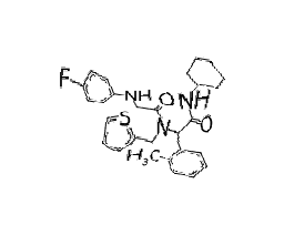 Cc1ccccc1C(C(=O)NC1CCCCC1)N(Cc1cccs1)C(=O)CNc1ccc(F)cc1